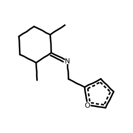 CC1CCCC(C)C1=NCc1ccco1